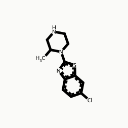 CC1CNCCN1c1nc2ccc(Cl)cc2s1